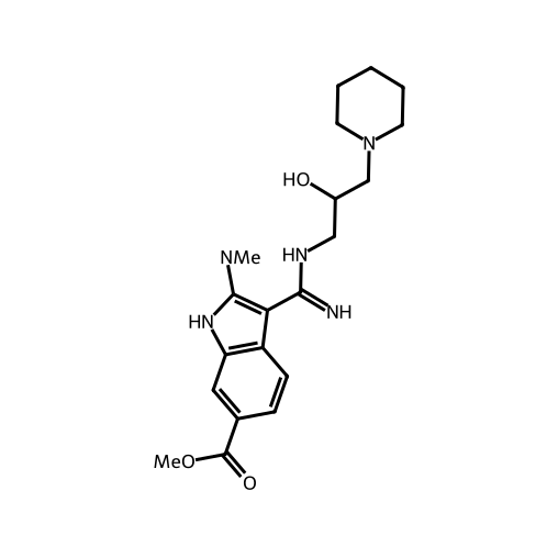 CNc1[nH]c2cc(C(=O)OC)ccc2c1C(=N)NCC(O)CN1CCCCC1